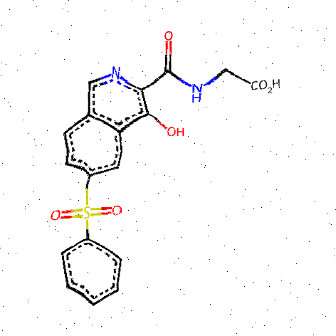 O=C(O)CNC(=O)c1ncc2ccc(S(=O)(=O)c3ccccc3)cc2c1O